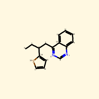 CCC(Cc1ncnc2ccccc12)c1cccs1